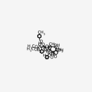 CC(=O)O[C@@]12COC1C[C@H](O)[C@@]1(C)C(=O)[C@H](O)C3=C(C)[C@@H](OC(=O)[C@H](OC(=O)OCc4ccc(C)cc4)[C@@H](NC(=O)OC(C)(C)C)c4ccccc4)C[C@@](O)([C@@H](OC(=O)c4ccccc4)[C@@H]12)C3(C)C